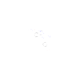 NC(=O)c1cccc2c(NC3CNCC3c3cccc(OC(F)(F)F)c3)ncnc12